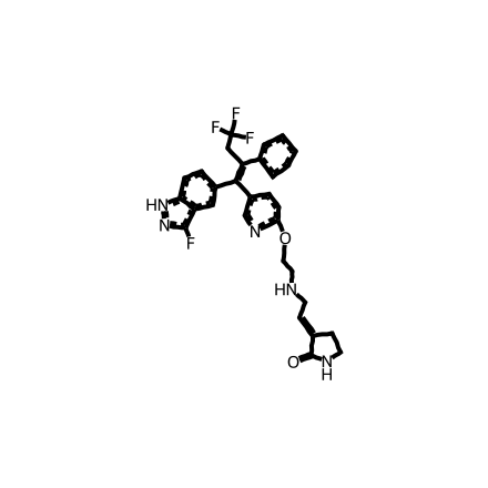 O=C1NCCC1=CCNCCOc1ccc(/C(=C(/CC(F)(F)F)c2ccccc2)c2ccc3[nH]nc(F)c3c2)cn1